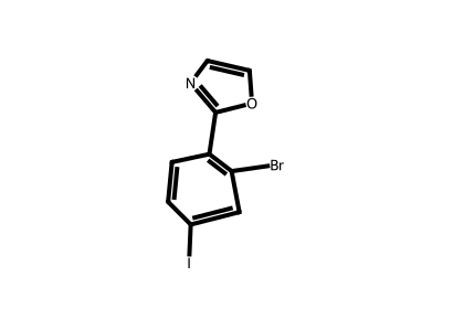 Brc1cc(I)ccc1-c1ncco1